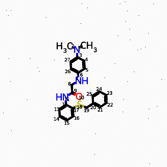 CN(C)c1ccc(NCC(=O)Nc2ccccc2SCc2ccccc2)cc1